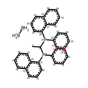 BB.CC(P(c1ccccc1)c1cccc2ccccc12)P(c1ccccc1)c1cccc2ccccc12